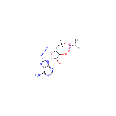 CCC(CC)[PH](=O)OC(C)(C)C[C@H]1OC(n2c(N=[N+]=[N-])nc3c(N)ncnc32)[C@H](O)[C@@H]1O